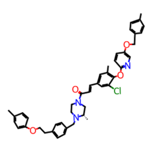 Cc1ccc(COc2ccc(Oc3c(C)cc(/C=C/C(=O)N4CCN(Cc5ccc(CCOc6ccc(C)cc6)cc5)[C@@H](C)C4)cc3Cl)nc2)cc1